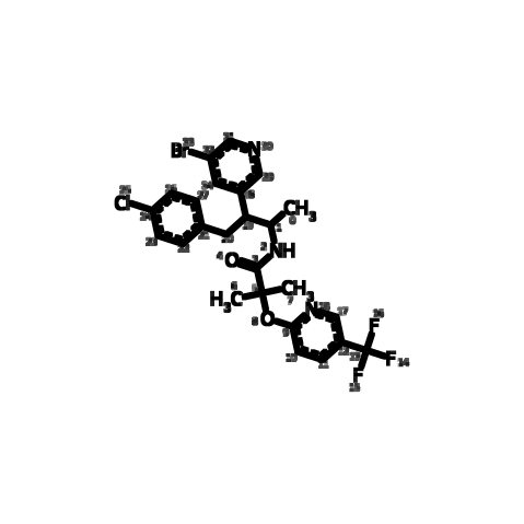 CC(NC(=O)C(C)(C)Oc1ccc(C(F)(F)F)cn1)C(Cc1ccc(Cl)cc1)c1cncc(Br)c1